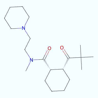 CN(CCN1CCCCC1)C(=O)[C@H]1CCCC[C@H]1C(=O)C(C)(C)C